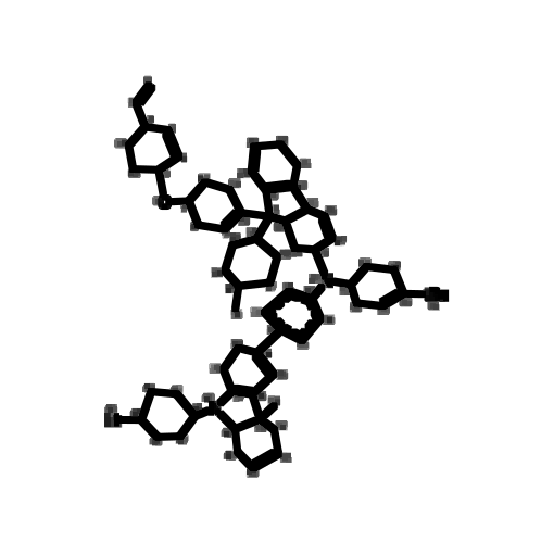 C=CC1C=CC(OC2CC=C(C3(C4CCC(C)CC4)C4=C(CCC=C4)C4C=CC(N(c5ccc(C6=CC7=C(CC6)N(C6CCC(CC)CC6)C6CC=CCC76C)cc5)C5CC=C(C(C)(C)C)CC5)CC43)CC2)CC1